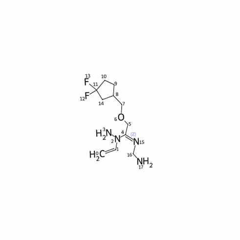 C=CN(N)/C(COCC1CCC(F)(F)C1)=N\CN